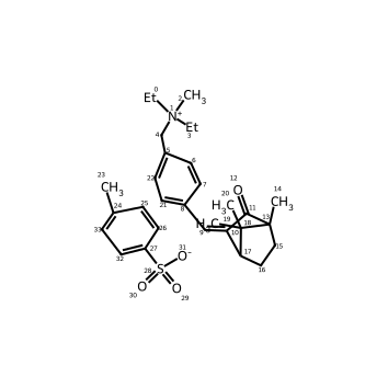 CC[N+](C)(CC)Cc1ccc(C=C2C(=O)C3(C)CCC2C3(C)C)cc1.Cc1ccc(S(=O)(=O)[O-])cc1